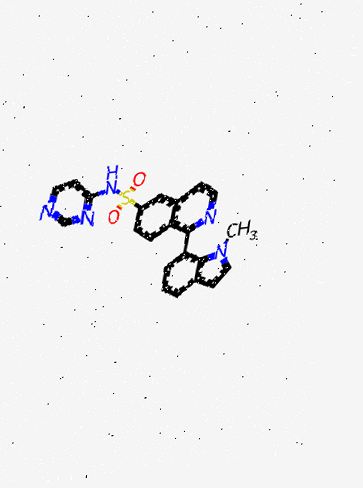 Cn1ccc2cccc(-c3nccc4cc(S(=O)(=O)Nc5ccncn5)ccc34)c21